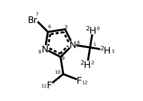 [2H]C([2H])([2H])n1cc(Br)nc1C(F)F